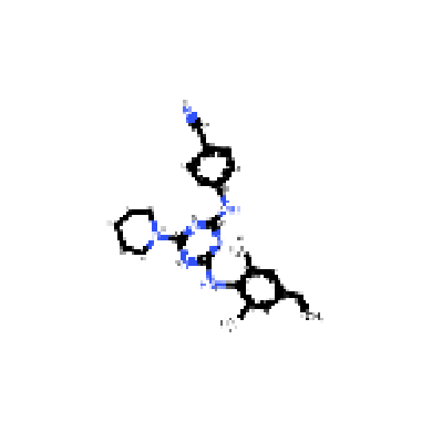 C=Cc1cc(C)c(Nc2nc(Nc3ccc(C#N)cc3)nc(N3CCCCC3)n2)c(C)c1